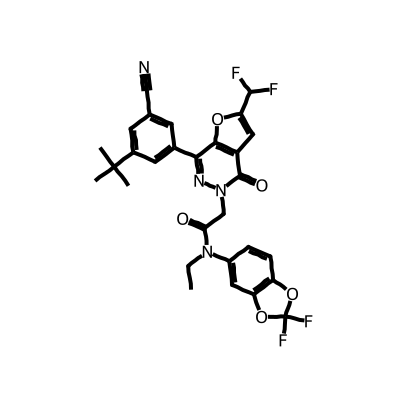 CCN(C(=O)Cn1nc(-c2cc(C#N)cc(C(C)(C)C)c2)c2oc(C(F)F)cc2c1=O)c1ccc2c(c1)OC(F)(F)O2